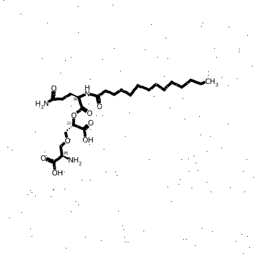 CCCCCCCCCCCCCC(=O)N[C@H](CCC(N)=O)C(=O)O[C@@H](COC[C@@H](N)C(=O)O)C(=O)O